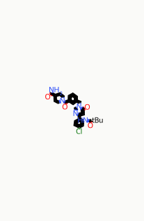 CC(C)(C)C(=O)Nc1cc(Cl)ccc1-c1cc(=O)n(Cc2cccc(C(=O)N3CCC(C(N)=O)CC3)c2)cn1